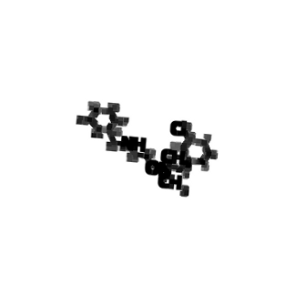 C[N+](C)(Cc1cccc(Cl)c1)OCCNCc1ccccc1